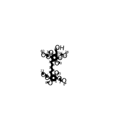 COCOc1cc(OC)c(OCOC)c(CCCCCc2c(OC)c(OCOC)c(CCO)c(OC)c2OCOC)c1OC